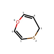 [C]1=CSCC=CO1